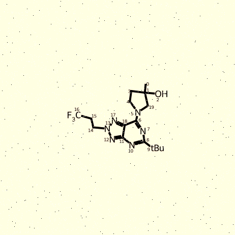 CC1(O)CCN(c2nc(C(C)(C)C)nc3nn(CCC(F)(F)F)nc23)C1